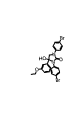 CCOc1cccc(C2(O)CN(c3ccc(Br)cc3)C(=O)N2c2ccc(Br)cc2)c1